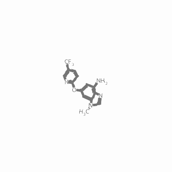 Cn1cnc2c(N)cc(Oc3ccc(C(F)(F)F)cn3)cc21